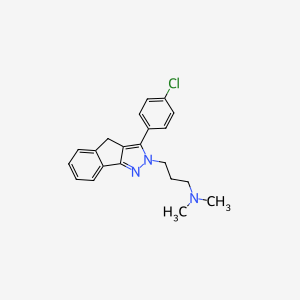 CN(C)CCCn1nc2c(c1-c1ccc(Cl)cc1)Cc1ccccc1-2